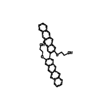 OCCOc1cc2cc3cc4ccccc4cc3cc2cc1-c1cc2cc3cc4ccccc4cc3cc2cc1OCCO